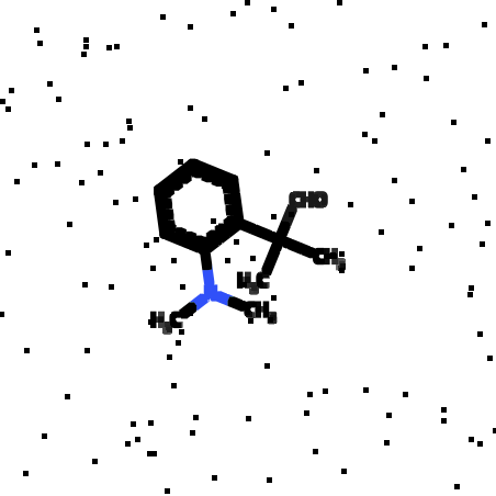 CN(C)c1ccccc1C(C)(C)C=O